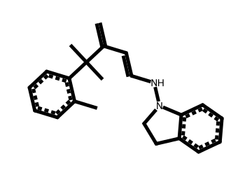 C=C(C=CNN1CCc2ccccc21)C(C)(C)c1ccccc1C